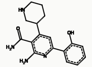 NC(=O)c1c(C2CCCNC2)cc(-c2ccccc2O)nc1N